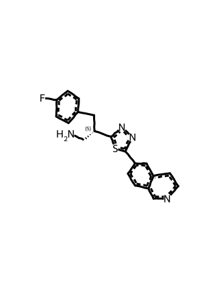 NC[C@H](Cc1ccc(F)cc1)c1nnc(-c2ccc3cnccc3c2)s1